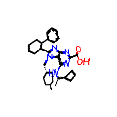 C[C@@H](Nc1nc(C(=O)O)nc2nc(C3CCCCC3c3ccccc3)n(C[C@H]3CC[C@H](C)CC3)c12)C1CCC1